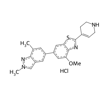 COc1cc(-c2cc(C)c3nn(C)cc3c2)cc2sc(C3=CCNCC3)nc12.Cl